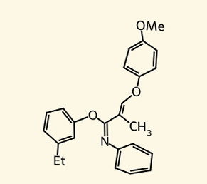 CCc1cccc(OC(=Nc2ccccc2)C(C)=COc2ccc(OC)cc2)c1